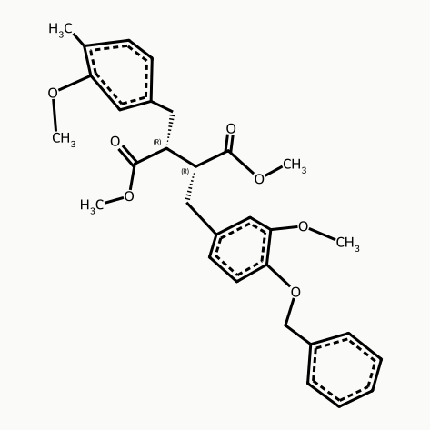 COC(=O)[C@H](Cc1ccc(C)c(OC)c1)[C@@H](Cc1ccc(OCc2ccccc2)c(OC)c1)C(=O)OC